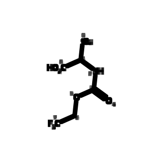 CC(C)(C)C(NC(=O)OCC(F)(F)F)C(=O)O